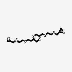 C(CSCC1CO1)SCCC1CSC(CSCCSCC2CS2)CS1